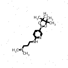 CN(C)CCCNc1ccc(B2OC(C)(C)C(C)(C)O2)cn1